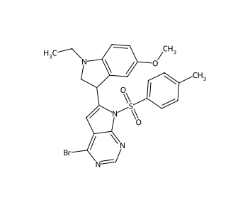 CCN1CC(c2cc3c(Br)ncnc3n2S(=O)(=O)c2ccc(C)cc2)c2cc(OC)ccc21